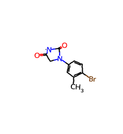 Cc1cc(N2CC(=O)[N]C2=O)ccc1Br